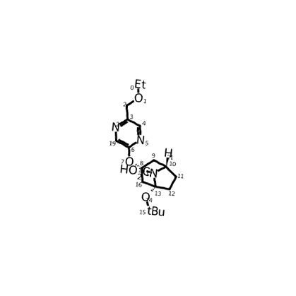 CCOCc1cnc(O[C@@H]2C[C@@H]3CC[C@@](OC(C)(C)C)(C2)N3C(=O)O)cn1